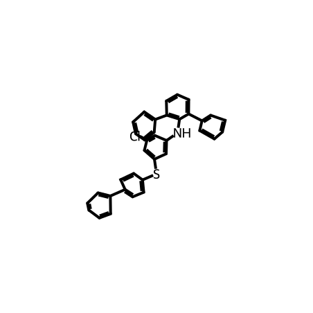 Clc1cc(Nc2c(-c3ccccc3)cccc2-c2ccccc2)cc(Sc2ccc(-c3ccccc3)cc2)c1